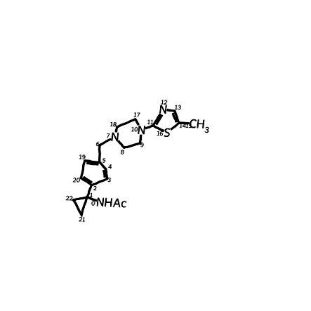 CC(=O)NC1(c2ccc(CN3CCN(c4ncc(C)s4)CC3)cc2)CC1